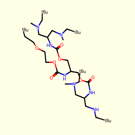 CN(CC(CNCC(C)(C)C)NC(=O)OCC(COC(=O)NC(CN(C)CC(C)(C)C)CN(C)CC(C)(C)C)NC(=O)OCCOCCC(C)(C)C)CC(C)(C)C